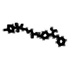 Cc1ccc(S(=O)(=O)N(C)CCOCC(=O)NCC2CCC(C(CCc3ccccc3)N(C)C)CC2)cc1